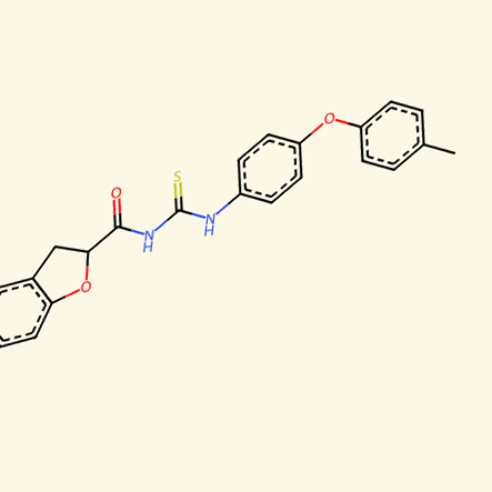 Cc1ccc(Oc2ccc(NC(=S)NC(=O)C3Cc4ccccc4O3)cc2)cc1